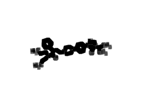 CCCN(CCC)C(=O)C(CCN1CCN(c2ccc(-n3ncn(C(C)C)c3=O)cc2)CC1)c1ccccc1